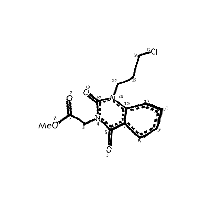 COC(=O)Cn1c(=O)c2ccccc2n(CCCCl)c1=O